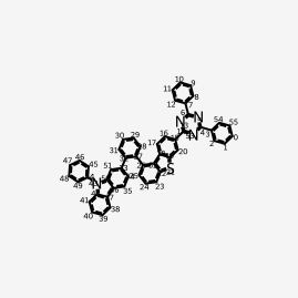 c1ccc(-c2nc(-c3ccccc3)nc(-c3ccc4c(c3)sc3cccc(-c5ccccc5-c5ccc6c7ccccc7n(-c7ccccc7)c6c5)c34)n2)cc1